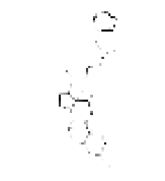 CC(CCCN(C)Cc1ccccc1)C1CC[C@H]2C3[C@H](O)CC4C[C@H](O)CCC4(C)[C@H]3C[C@H](O)C12C